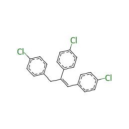 Clc1ccc(/C=C(/Cc2ccc(Cl)cc2)c2ccc(Cl)cc2)cc1